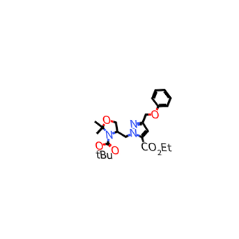 CCOC(=O)c1cc(COc2ccccc2)nn1CC1COC(C)(C)N1C(=O)OC(C)(C)C